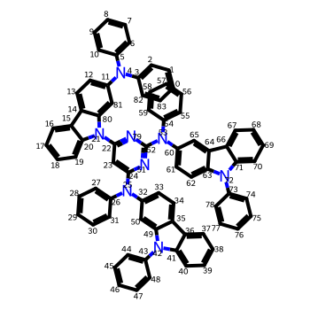 c1ccc(N(c2ccccc2)c2ccc3c4ccccc4n(-c4cc(N(c5ccccc5)c5ccc6c7ccccc7n(-c7ccccc7)c6c5)nc(N(c5ccccc5)c5ccc6c(c5)c5ccccc5n6-c5ccccc5)n4)c3c2)cc1